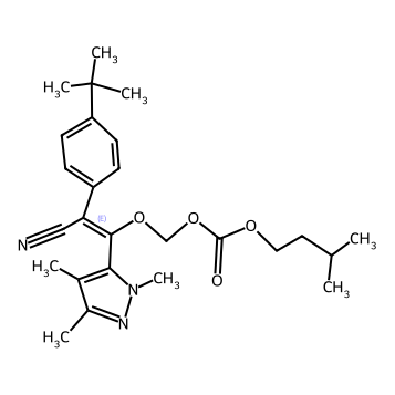 Cc1nn(C)c(/C(OCOC(=O)OCCC(C)C)=C(\C#N)c2ccc(C(C)(C)C)cc2)c1C